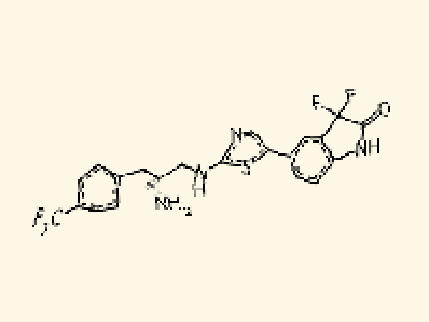 N[C@@H](CNc1ncc(-c2ccc3c(c2)C(F)(F)C(=O)N3)s1)Cc1ccc(C(F)(F)F)cc1